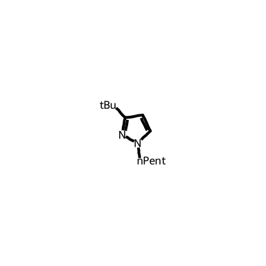 CCCCCn1ccc(C(C)(C)C)n1